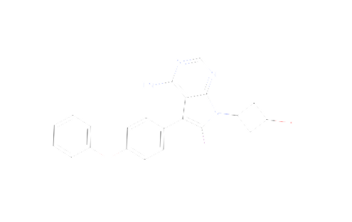 Nc1ncnc2c1c(-c1ccc(Oc3ccccc3)cc1)c(I)n2C1CC(O)C1